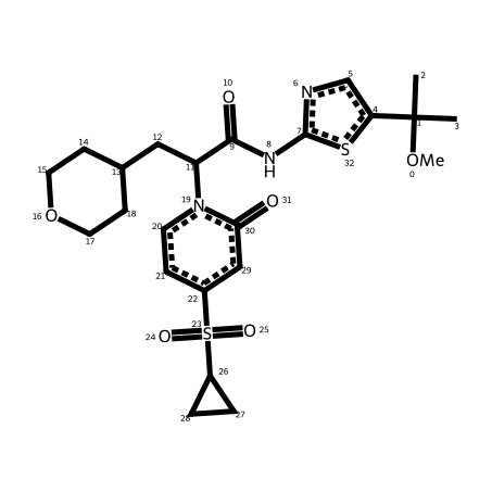 COC(C)(C)c1cnc(NC(=O)C(CC2CCOCC2)n2ccc(S(=O)(=O)C3CC3)cc2=O)s1